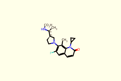 Cc1c(N2CC[C@@H]([C@H](C)NC(=O)O)C2)c(F)cc2ccc(=O)n(C3CC3)c12